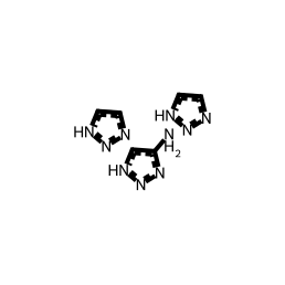 Nc1c[nH]nn1.c1c[nH]nn1.c1c[nH]nn1